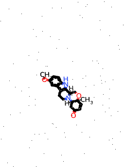 COc1ccc2[nH]c3c(c2c1)CCN1[C@@H]3CO[C@@]2(C)C=CC(=O)C[C@@H]12